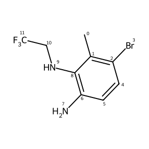 Cc1c(Br)ccc(N)c1NCC(F)(F)F